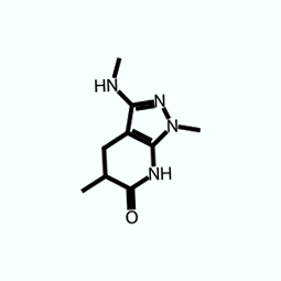 CNc1nn(C)c2c1CC(C)C(=O)N2